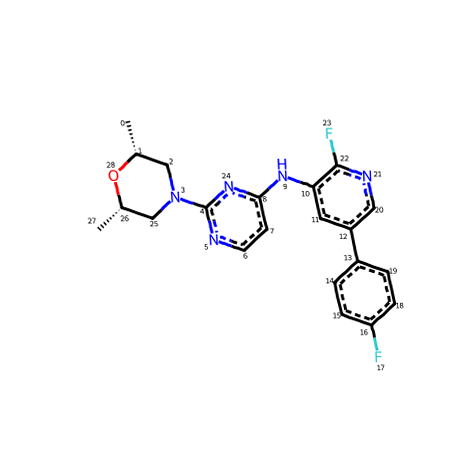 C[C@@H]1CN(c2nccc(Nc3cc(-c4ccc(F)cc4)cnc3F)n2)C[C@H](C)O1